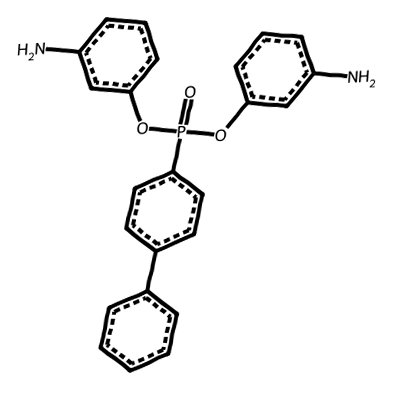 Nc1cccc(OP(=O)(Oc2cccc(N)c2)c2ccc(-c3ccccc3)cc2)c1